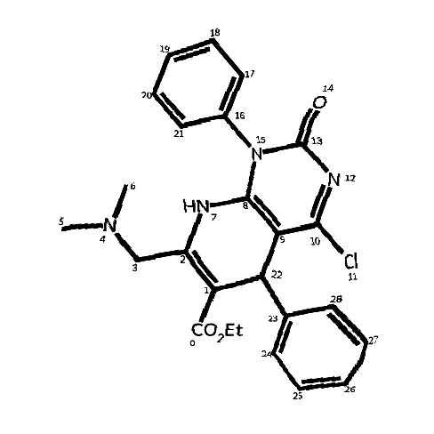 CCOC(=O)C1=C(CN(C)C)Nc2c(c(Cl)nc(=O)n2-c2ccccc2)C1c1ccccc1